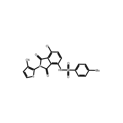 CC(C)(C)c1ccc(S(=O)(=O)Nc2ccc(Cl)c3c2C(=O)N(c2sccc2C#N)C3=O)cc1